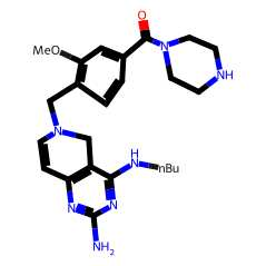 CCCCNc1nc(N)nc2c1CN(Cc1ccc(C(=O)N3CCNCC3)cc1OC)C=C2